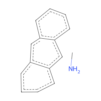 CN.c1ccc2cc3ccccc3cc2c1